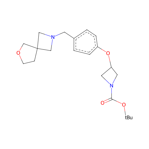 CC(C)(C)OC(=O)N1CC(Oc2ccc(CN3CC4(CCOC4)C3)cc2)C1